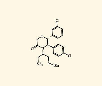 CC(C)(C)SCC(CC(F)(F)F)N1C(=O)CO[C@H](c2cccc(Cl)c2)[C@H]1c1ccc(Cl)cc1